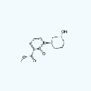 COC(=O)c1cccn([C@@H]2CCC[C@@H](O)C2)c1=O